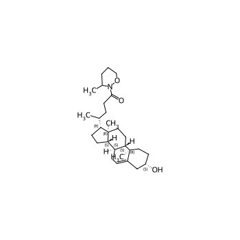 CC(CCC(=O)N1OCCCC1C)[C@H]1CC[C@H]2[C@@H]3CC=C4C[C@@H](O)CC[C@]4(C)[C@H]3CC[C@]12C